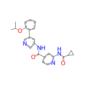 CC(C)Oc1ccccc1-c1cncc(NC(=O)c2ccnc(NC(=O)C3CC3)c2)c1